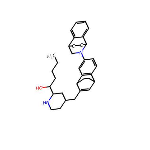 CCCCC(O)C1CC(CC2=CC3CCC2c2cc(N4CC5CCC4c4ccccc45)ccc23)CCN1